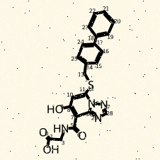 O=C(O)CNC(=O)c1c(O)cc(SCc2ccc(-c3ccccc3)cc2)n2ncnc12